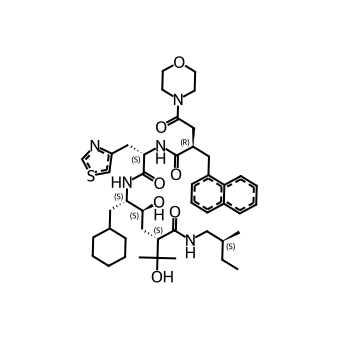 CC[C@H](C)CNC(=O)[C@@H](C[C@H](O)[C@H](CC1CCCCC1)NC(=O)[C@H](Cc1cscn1)NC(=O)[C@@H](CC(=O)N1CCOCC1)Cc1cccc2ccccc12)C(C)(C)O